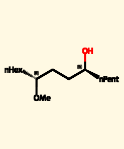 CCCCCC[C@H](CC[C@@H](O)CCCCC)OC